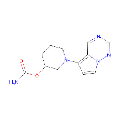 NC(=O)OC1CCCN(c2ccn3ncncc23)C1